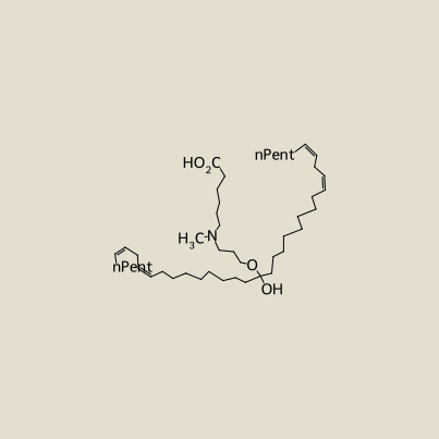 CCCCC/C=C\C/C=C\CCCCCCCCC(O)(CCCCCCCC/C=C\C/C=C\CCCCC)OCCCN(C)CCCCCC(=O)O